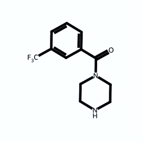 O=C(c1cccc(C(F)(F)F)c1)N1CCNCC1